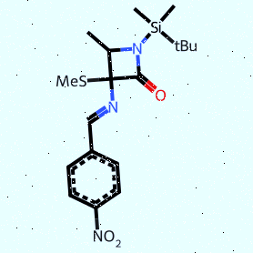 CSC1(N=Cc2ccc([N+](=O)[O-])cc2)C(=O)N([Si](C)(C)C(C)(C)C)C1C